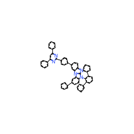 c1ccc(-c2ccc3c(c2)n2c4cc(-c5ccc(-c6nc(-c7ccccc7)cc(-c7ccccc7)n6)cc5)ccc4nc2n3-c2c(-c3ccccc3)cccc2-c2ccccc2)cc1